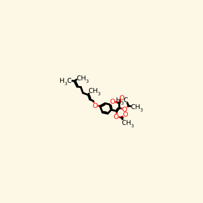 CC(=O)Oc1c(OC(C)C)c(=O)oc2cc(OC/C=C(\C)CCC=C(C)C)ccc12